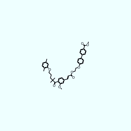 COC(=O)c1ccc(-c2ccc(OCCOC(=O)C=Cc3ccc(C(=O)C(C)(C)CCCOc4cc(C)ccc4C)c(OC)c3)cc2)cc1